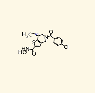 C/C=C1/CN(C(=O)c2ccc(Cl)cc2)Cc2cc(C(=O)NO)sc21